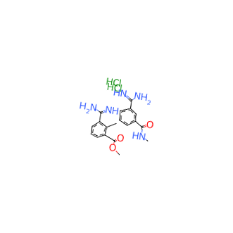 CNC(=O)c1cccc(C(=N)N)c1.COC(=O)c1cccc(C(=N)N)c1C.Cl.Cl